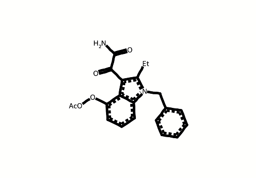 CCc1c(C(=O)C(N)=O)c2c(OOC(C)=O)cccc2n1Cc1ccccc1